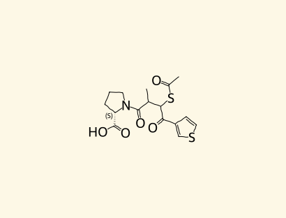 CC(=O)SC(C(=O)c1ccsc1)C(C)C(=O)N1CCC[C@H]1C(=O)O